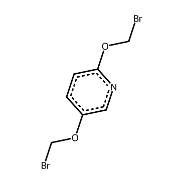 BrCOc1ccc(OCBr)nc1